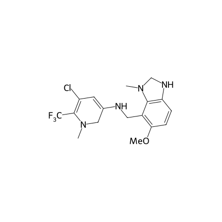 COc1ccc2c(c1CNC1=CC(Cl)=C(C(F)(F)F)N(C)C1)N(C)CN2